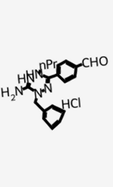 CCCNC(=NN(Cc1ccccc1)C(=N)N)c1ccc(C=O)cc1.Cl